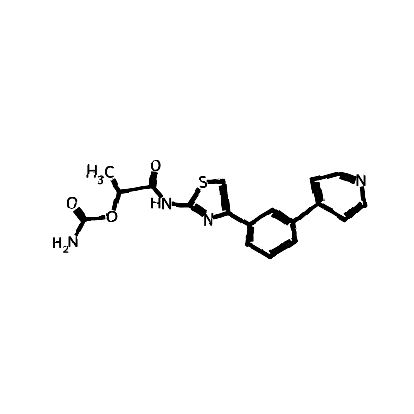 CC(OC(N)=O)C(=O)Nc1nc(-c2cccc(-c3ccncc3)c2)cs1